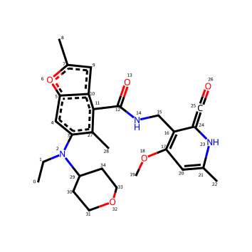 CCN(c1cc2oc(C)cc2c(C(=O)NCC2=C(OC)C=C(C)NC2=C=O)c1C)C1CCOCC1